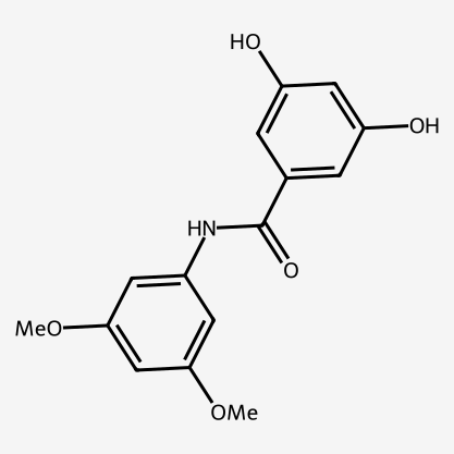 COc1cc(NC(=O)c2cc(O)cc(O)c2)cc(OC)c1